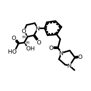 CN1CCN(C(=O)Cc2cccc(N3CCO[C@H]([C@@H](O)C(=O)O)C3=O)c2)CC1=O